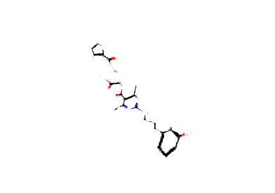 Cc1nc(NCCCc2cccc(O)c2F)nc(C)c1C(=O)N[C@@H](CNC(=O)c1cccs1)C(=O)O